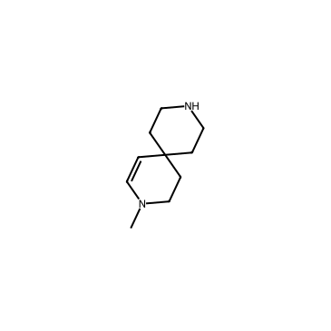 CN1C=CC2(CCNCC2)CC1